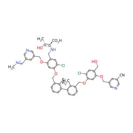 C/N=C/c1cncc(COc2cc(OCc3cccc(-c4cccc(COc5cc(OCc6cncc(C#N)c6)c(CO)cc5Cl)c4C)c3C)c(Cl)cc2CN[C@H](C(=O)O)[C@@H](C)O)c1